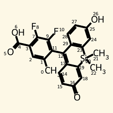 Cc1cc(C(=O)O)c(F)c(F)c1C1=C2C=CC(=O)C=C2[Si](C)(C)c2cc(O)ccc21